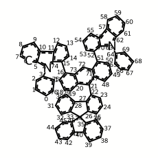 c1ccc(-n2c3ccccc3c3cccc(-c4cccc5c(-c6cccc7c6-c6ccccc6C76c7ccccc7-c7ccccc76)c6cccc(-c7cccc8c9ccccc9n(-c9ccccc9)c78)c6cc45)c32)cc1